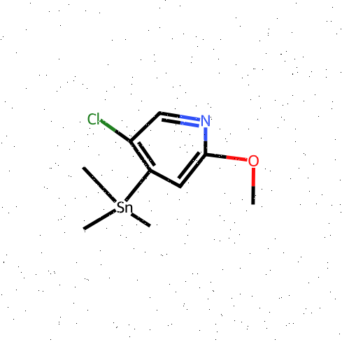 COc1c[c]([Sn]([CH3])([CH3])[CH3])c(Cl)cn1